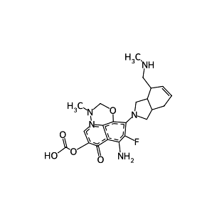 CNCC1C=CCC2CN(c3c(F)c(N)c4c(=O)c(OC(=O)O)cn5c4c3OCN5C)CC12